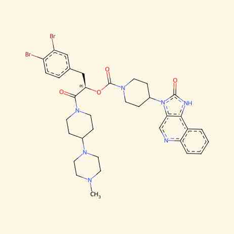 CN1CCN(C2CCN(C(=O)[C@@H](Cc3ccc(Br)c(Br)c3)OC(=O)N3CCC(n4c(=O)[nH]c5c6ccccc6ncc54)CC3)CC2)CC1